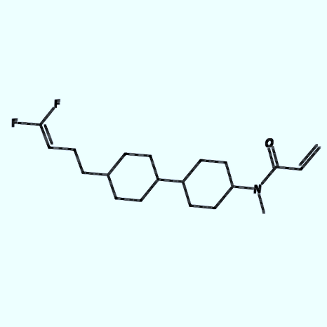 C=CC(=O)N(C)C1CCC(C2CCC(CCC=C(F)F)CC2)CC1